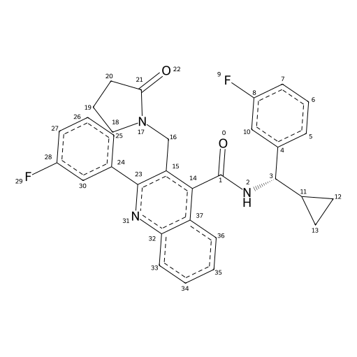 O=C(N[C@H](c1cccc(F)c1)C1CC1)c1c(CN2CCCC2=O)c(-c2cccc(F)c2)nc2ccccc12